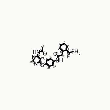 BC(F)c1ccccc1CC(=O)Nc1ccc(Sc2cc(NC(C)=O)ncn2)cc1